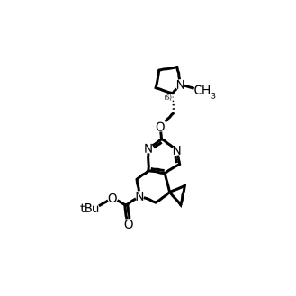 CN1CCC[C@H]1COc1ncc2c(n1)CN(C(=O)OC(C)(C)C)CC21CC1